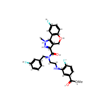 COC(=O)c1ccc(F)c(NCCN(Cc2cccc(F)c2)C(=O)c2nn(C)c3c2COc2ccc(F)cc2-3)c1